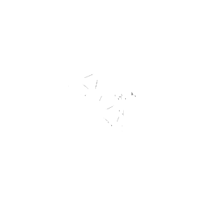 CSc1ncc(/C(C)=C/c2cccc(Cl)c2Cl)c(N=[N+]=[N-])n1